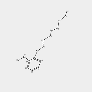 CCCCCCCCCc1ccccc1OC